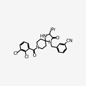 CC(C)C1NC2(CCN(C(=O)c3cccc(Cl)c3Cl)CC2)N(Cc2cccc(C#N)c2)C1=O